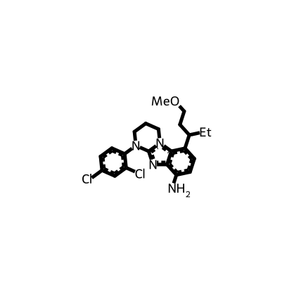 CCC(CCOC)c1ccc(N)c2nc3n(c12)CCCN3c1ccc(Cl)cc1Cl